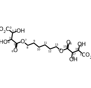 O=C(O)C(O)C(O)C(=O)OCCCCCCOC(=O)C(O)C(O)C(=O)O